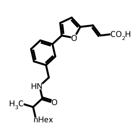 CCCCCCC(C)C(=O)NCc1cccc(-c2ccc(C=CC(=O)O)o2)c1